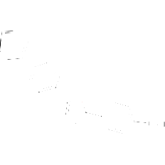 CC(C)(C)c1ccc(-c2ccc(-c3ccc(-c4ccccc4)cc3)o2)cc1